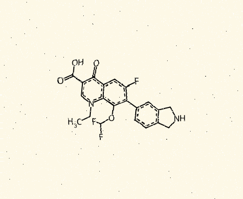 CCn1cc(C(=O)O)c(=O)c2cc(F)c(-c3ccc4c(c3)CNC4)c(OC(F)F)c21